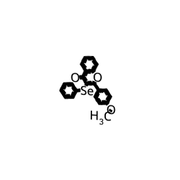 COc1ccc(-c2oc3ccccc3c(=O)c2[Se]c2ccccc2)cc1